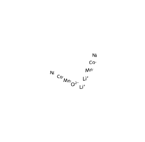 [Co].[Co].[Li+].[Li+].[Mn].[Mn].[Ni].[Ni].[O-2]